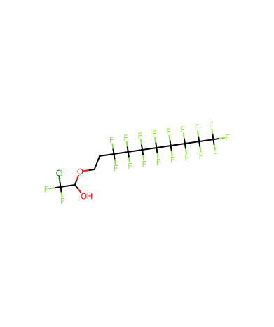 OC(OCCC(F)(F)C(F)(F)C(F)(F)C(F)(F)C(F)(F)C(F)(F)C(F)(F)C(F)(F)F)C(F)(F)Cl